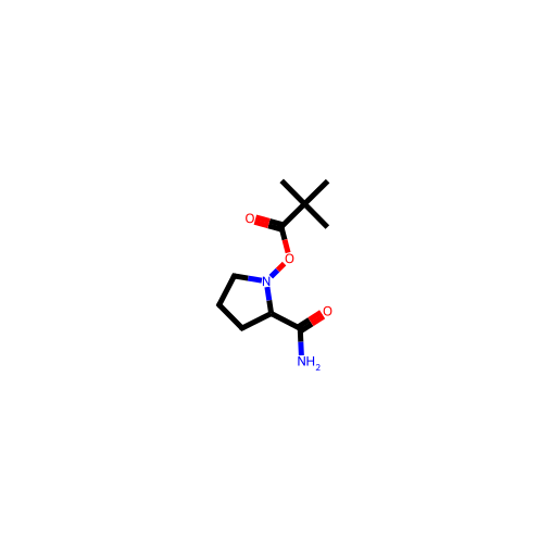 CC(C)(C)C(=O)ON1CCCC1C(N)=O